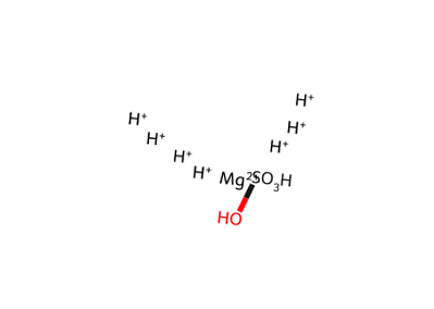 O=S(=O)(O)O.[H+].[H+].[H+].[H+].[H+].[H+].[H+].[Mg+2]